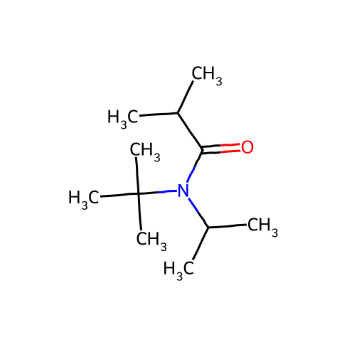 CC(C)C(=O)N(C(C)C)C(C)(C)C